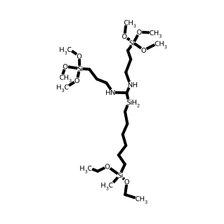 CCO[Si](C)(CCCCCC[SiH2]C(NCCC[Si](OC)(OC)OC)NCCC[Si](OC)(OC)OC)OCC